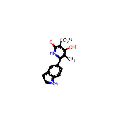 Cc1c(-c2ccc3[nH]ccc3c2)[nH]c(=O)c(C(=O)O)c1O